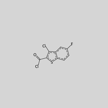 O=C(Cl)c1sc2ccc(F)cc2c1Cl